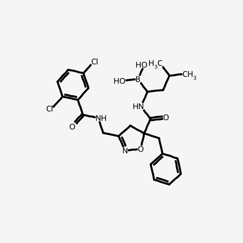 CC(C)CC(NC(=O)C1(Cc2ccccc2)CC(CNC(=O)c2cc(Cl)ccc2Cl)=NO1)B(O)O